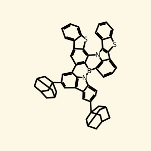 c1ccc2c(c1)sc1c3c4c(cc12)-c1cc(C25CC6CC(CC(C6)C2)C5)cc2c5cc(C67CC8CC(CC(C8)C6)C7)ccc5n(c12)B4c1cccc2c4sc5ccccc5c4n-3c12